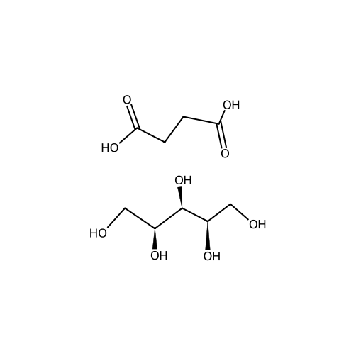 O=C(O)CCC(=O)O.OC[C@@H](O)[C@H](O)[C@@H](O)CO